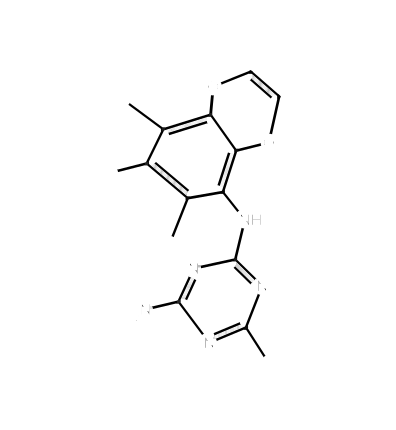 Cc1nc(N)nc(Nc2c(C)c(C)c(C)c3c2OC=CO3)n1